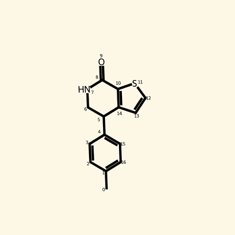 Cc1ccc(C2CNC(=O)c3sccc32)cc1